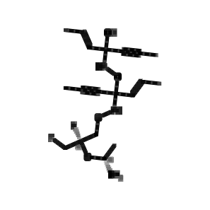 B[C@@H](C)O[C@@](F)(CF)COPC(C#CC)(C=CC)OPC(O)(C#CC)C=CC